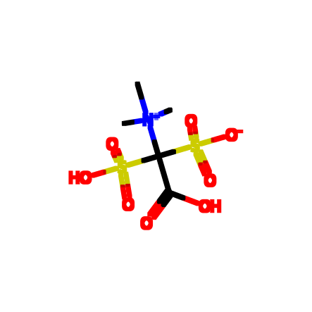 C[N+](C)(C)C(C(=O)O)(S(=O)(=O)[O-])S(=O)(=O)O